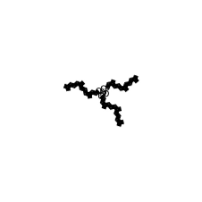 CC(C)CCCC(C)CCCC(C)CCOP(=O)(OCCC(C)CCCC(C)CCCC(C)C)OCCC(C)CCCC(C)CCCC(C)C